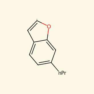 CCCc1ccc2c[c]oc2c1